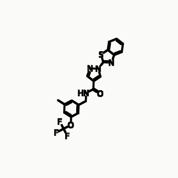 Cc1cc(CNC(=O)c2cnn(-c3nc4ccccc4s3)c2)cc(OC(F)(F)F)c1